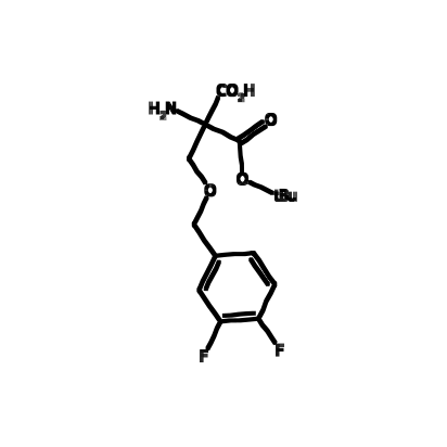 CC(C)(C)OC(=O)C(N)(COCc1ccc(F)c(F)c1)C(=O)O